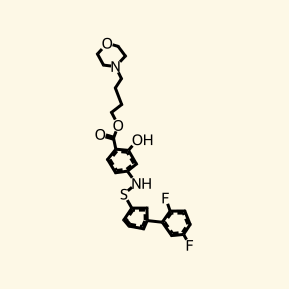 O=C(OCCCCN1CCOCC1)c1ccc(NSc2cccc(-c3cc(F)ccc3F)c2)cc1O